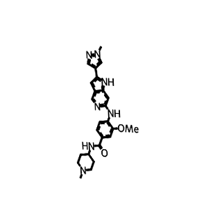 COc1cc(C(=O)NC2CCN(C)CC2)ccc1Nc1cc2[nH]c(-c3cnn(C)c3)cc2cn1